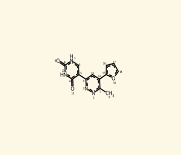 Cc1nnc(-c2c[nH]c(=O)[nH]c2=O)cc1-c1ccco1